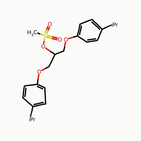 CC(C)c1ccc(OCC(COc2ccc(C(C)C)cc2)OS(C)(=O)=O)cc1